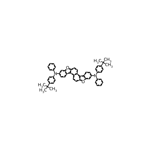 CC(C)(C)c1ccc(N(c2ccccc2)c2ccc3c(c2)oc2ccc4c(ccc5oc6cc(N(c7ccccc7)c7ccc(C(C)(C)C)cc7)ccc6c54)c23)cc1